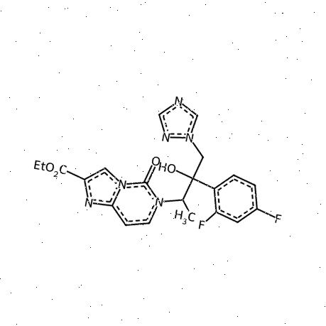 CCOC(=O)c1cn2c(=O)n(C(C)C(O)(Cn3cncn3)c3ccc(F)cc3F)ccc2n1